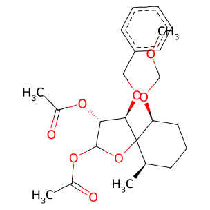 COCO[C@H]1CCC[C@@H](C)C12OC(OC(C)=O)[C@H](OC(C)=O)[C@H]2OCc1ccccc1